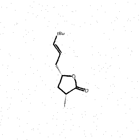 CC(C)(C)/C=C/C[C@H]1C[C@@H](I)C(=O)O1